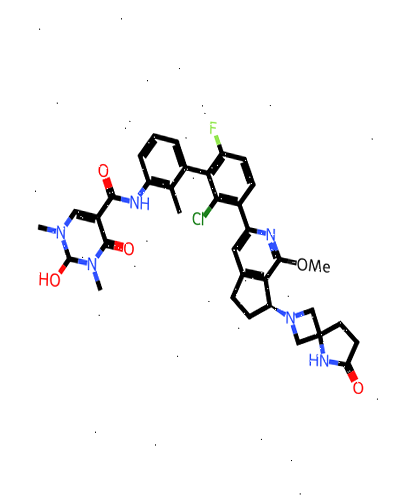 COc1nc(-c2ccc(F)c(-c3cccc(NC(=O)C4=CN(C)C(O)N(C)C4=O)c3C)c2Cl)cc2c1[C@@H](N1CC3(CCC(=O)N3)C1)CC2